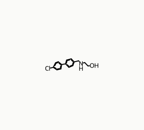 OCCNCc1ccc(-c2ccc(Cl)cc2)cc1